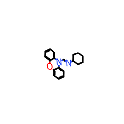 C(=N\C1CCCCC1)/N1c2ccccc2Oc2ccccc21